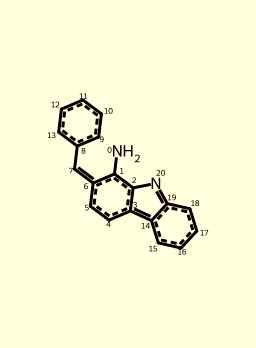 Nc1c2c(ccc1=Cc1ccccc1)=c1ccccc1=N2